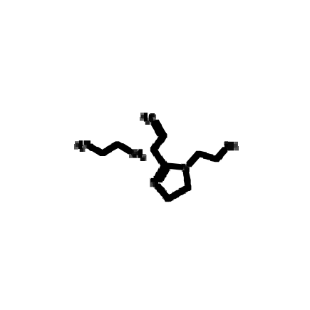 C=CCC1=NCCN1CCO.NCCN